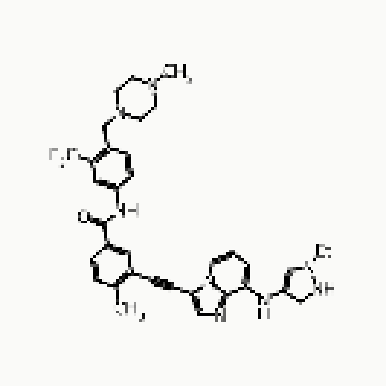 CCN1C=C(Nc2cccn3c(C#Cc4cc(C(=O)Nc5ccc(CN6CCN(C)CC6)c(C(F)(F)F)c5)ccc4C)cnc23)CN1